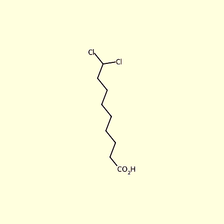 O=C(O)CCCCCCCC(Cl)Cl